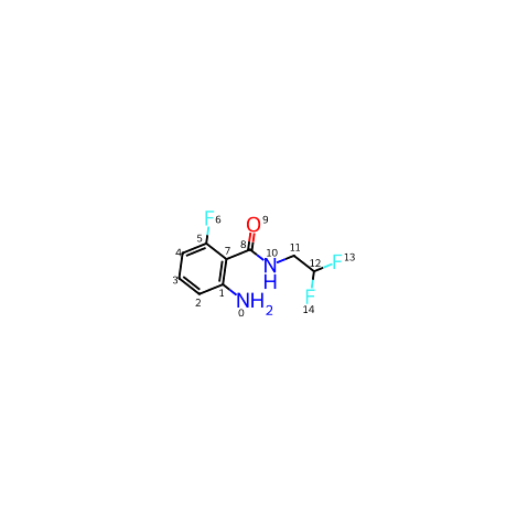 Nc1cccc(F)c1C(=O)NCC(F)F